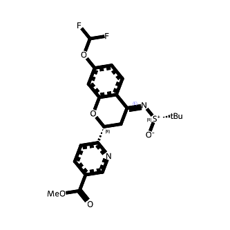 COC(=O)c1ccc([C@H]2C/C(=N\[S@@+]([O-])C(C)(C)C)c3ccc(OC(F)F)cc3O2)nc1